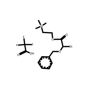 CCC(OCc1ccccc1)C(=O)OCC[Si](C)(C)C.O=C(O)C(F)(F)F